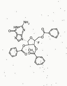 C[C@]1(OC(=O)c2ccccc2)[C@H](n2cnc3c(=O)[nH]c(N)nc32)O[C@@](F)(COC(=O)c2ccccc2)[C@H]1OC(=O)c1ccccc1